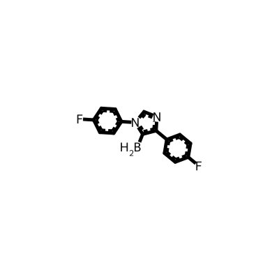 Bc1c(-c2ccc(F)cc2)ncn1-c1ccc(F)cc1